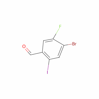 O=Cc1cc(F)c(Br)cc1I